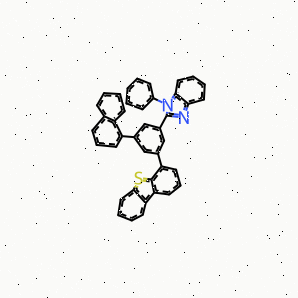 c1ccc(-n2c(-c3cc(-c4cccc5ccccc45)cc(-c4cccc5c4sc4ccccc45)c3)nc3ccccc32)cc1